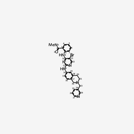 CNC(=O)c1ccccc1Nc1nc(Nc2ccc3c(c2)CCN(Cc2cccnc2)C3)ncc1Br